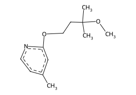 COC(C)(C)CCOc1cc(C)ccn1